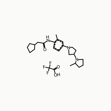 Cc1cc(N2CCC(N3CCCC3C)C2)ccc1NC(=O)CC1CCCC1.O=C(O)C(F)(F)F